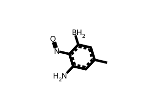 Bc1cc(C)cc(N)c1N=O